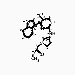 COC(=O)CN1CC[C@@H](Nc2ncc(Cl)c(-c3c[nH]c4ccccc34)n2)C1